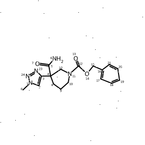 Cn1cc(C2(C(N)=O)CCCN(C(=O)OCc3ccccc3)C2)nn1